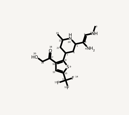 CN/C=C(\N)C1CC(c2sc(C(F)(F)F)cc2C(=O)CO)CC(C)N1